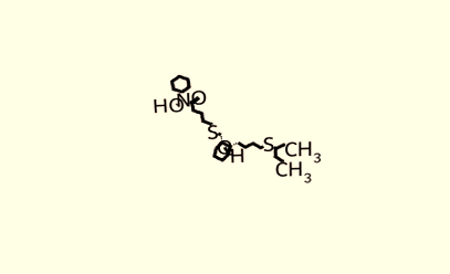 CCCC(CC)SCCCC[C@@H]1[C@@H]2CCC(O2)[C@@H]1CSCCCCC(=O)N(O)C1CCCCC1